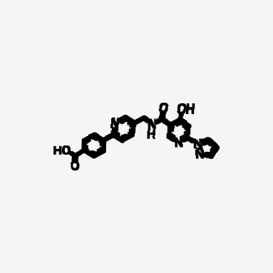 O=C(O)c1ccc(-c2ccc(CNC(=O)c3cnc(-n4cccn4)cc3O)cn2)cc1